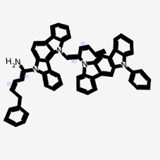 C=C/C=C\C(=C/n1c2ccccc2c2ccc3c(c4ccccc4n3/C(N)=C/C=C\Cc3ccccc3)c21)n1c2ccccc2c2cc3c(cc21)c1ccccc1n3-c1ccccc1